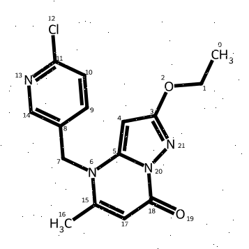 CCOc1cc2n(Cc3ccc(Cl)nc3)c(C)cc(=O)n2n1